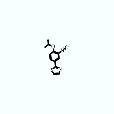 [C-]#[N+]c1cc(-c2nccs2)ccc1OC(C)C